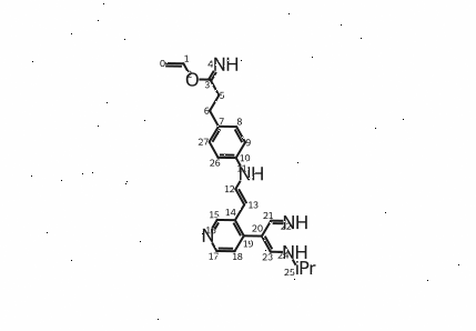 C=COC(=N)CCc1ccc(N/C=C/c2cnccc2/C(C=N)=C/NC(C)C)cc1